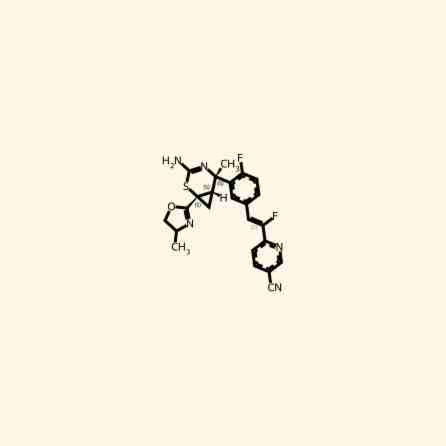 CC1COC([C@]23C[C@H]2[C@@](C)(c2cc(/C=C(\F)c4ccc(C#N)cn4)ccc2F)N=C(N)S3)=N1